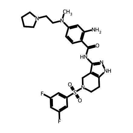 CN(CCN1CCCC1)c1ccc(C(=O)Nc2n[nH]c3c2CN(S(=O)(=O)c2cc(F)cc(F)c2)CC3)c(N)c1